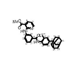 COC(=O)c1cccnc1Nc1cccc(C(=O)Nc2ccc(C34CC5CC(CC(C5)C3)C4)cc2Cl)c1